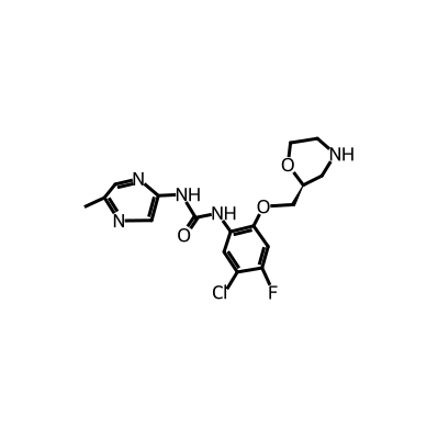 Cc1cnc(NC(=O)Nc2cc(Cl)c(F)cc2OC[C@@H]2CNCCO2)cn1